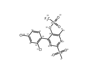 Cc1nc(S(C)(=O)=O)nc(-c2ccc(Cl)cc2Cl)c1OS(=O)(=O)C(F)(F)F